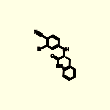 N#Cc1ccc(N[C@H](Cc2ccccc2)C(N)=O)cc1Br